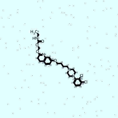 CCNC(=O)OCOC1=Nc2cc(OCCCCN3CCN(c4cccc(Cl)c4Cl)CC3)ccc2CC1